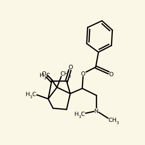 CN(C)CC(OC(=O)c1ccccc1)C12CCC(C)(C(=O)C1=O)C2(C)C